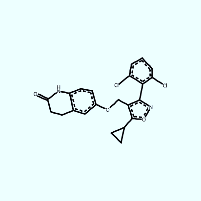 O=C1CCc2cc(OCc3c(-c4c(Cl)cccc4Cl)noc3C3CC3)ccc2N1